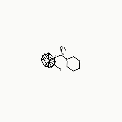 C[C@@H](N1CCCCC1)[C@]12[CH]3[CH]4[CH]5[C]1(I)[Fe]45321678[CH]2[CH]1[CH]6[CH]7[CH]28